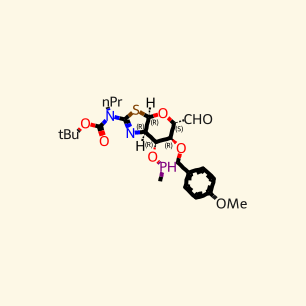 CCCN(C(=O)OC(C)(C)C)C1=N[C@@H]2[C@@H](OPC)[C@H](OCc3ccc(OC)cc3)[C@@H](C=O)O[C@@H]2S1